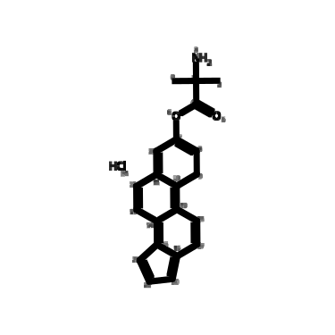 CC(C)(N)C(=O)OC1=CCc2c(ccc3c4c(ccc23)=CC=C4)=C1.Cl